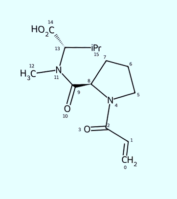 C=CC(=O)N1CCC[C@@H]1C(=O)N(C)[C@H](C(=O)O)C(C)C